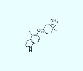 Cc1c(O[C@@H]2CCC(C)(C)[C@@H](N)C2)ccc2[nH]ncc12